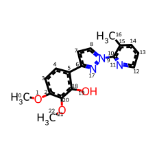 COc1ccc(-c2ccn(-c3ncccc3C)n2)c(O)c1OC